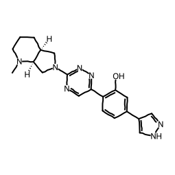 CN1CCC[C@H]2CN(c3ncc(-c4ccc(-c5cn[nH]c5)cc4O)nn3)C[C@H]21